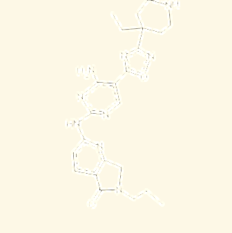 CCCN1Cc2nc(Nc3ncc(-c4nc(C5(CC)CCNCC5)no4)c(N)n3)ccc2C1=O